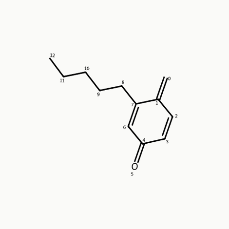 C=C1C=CC(=O)C=C1CCCCC